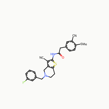 CSc1ccc(CC(=O)Nc2sc3c(c2C#N)CN(Cc2cccc(F)c2)CC3)cc1C#N